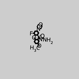 COc1ccc2c(c1)[C@@]1(COC(N)=N1)c1cc(N3CCOCC3)cc(F)c1O2